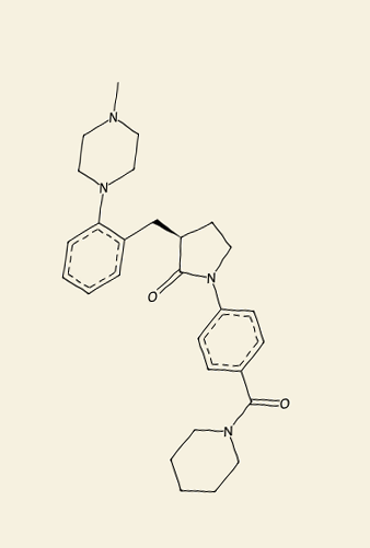 CN1CCN(c2ccccc2C[C@H]2CCN(c3ccc(C(=O)N4CCCCC4)cc3)C2=O)CC1